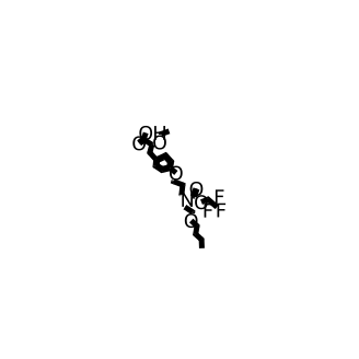 CCCCOCCN(CCCOc1ccc(CC(OCC)C(=O)O)cc1)C(=O)OCC(F)(F)F